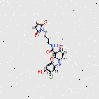 O=C(NCCCCN1C(=O)C=CC1=O)c1c2oc3cc(O)c(Cl)cc3nc-2ccc1=O